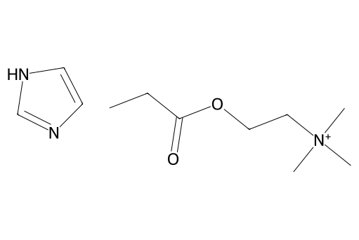 CCC(=O)OCC[N+](C)(C)C.c1c[nH]cn1